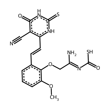 COc1cccc(/C=C/c2[nH]c(=S)[nH]c(=O)c2C#N)c1OC/C(N)=N/C(=O)S